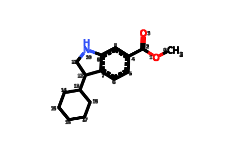 COC(=O)c1ccc2c(c1)NCC2C1CCCCC1